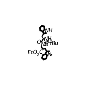 CCOC(=O)C(CNC(=O)[C@@H](Cc1c[nH]c2ccccc12)NC(=O)OC(C)(C)C)Cc1cn(C)c2ccccc12